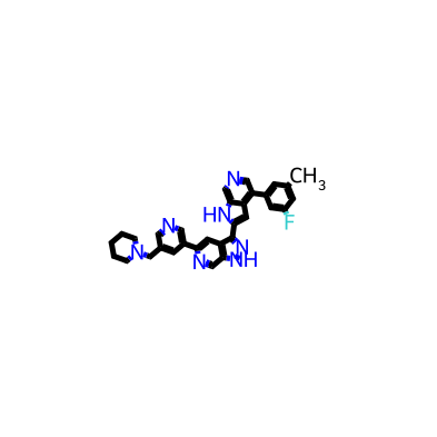 Cc1cc(F)cc(-c2cncc3[nH]c(-c4n[nH]c5cnc(-c6cncc(CN7CCCCC7)c6)cc45)cc23)c1